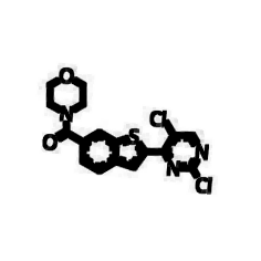 O=C(c1ccc2cc(-c3nc(Cl)ncc3Cl)sc2c1)N1CCOCC1